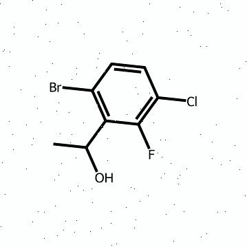 CC(O)c1c(Br)ccc(Cl)c1F